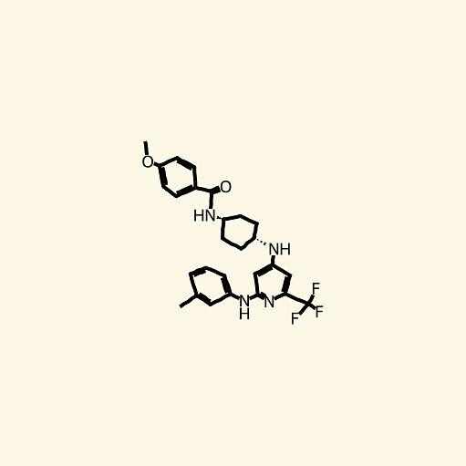 COc1ccc(C(=O)N[C@H]2CC[C@@H](Nc3cc(Nc4cccc(C)c4)nc(C(F)(F)F)c3)CC2)cc1